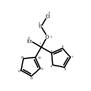 CCC([O][Ti][Cl])(C1=CC=CC1)C1=CC=CC1